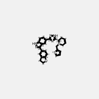 C1=CCN(Cc2cccs2)[C@@H](c2nc(-c3ccc4[nH]nc(-c5ccc6c(c5)CCO6)c4c3)n[nH]2)C1